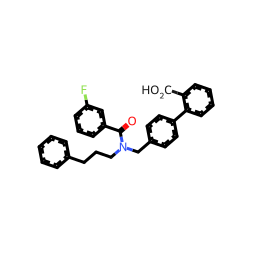 O=C(O)c1ccccc1-c1ccc(CN(CCCc2ccccc2)C(=O)c2cccc(F)c2)cc1